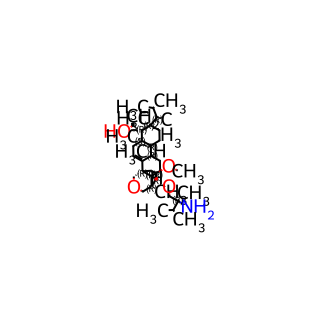 C=C(O)[C@@H]1[C@@](C)([C@H](C)C(C)C)CC[C@]2(C)[C@H]3CC[C@@H]4[C@@]5(COC[C@]4(C)[C@@H](OC[C@](C)(N)C(C)C)[C@H](OC)C5)C3=CC[C@@]12C